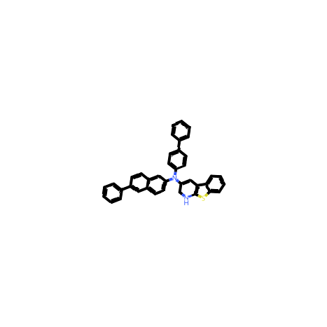 C1=C(N(c2ccc(-c3ccccc3)cc2)c2ccc3cc(-c4ccccc4)ccc3c2)CNc2sc3ccccc3c21